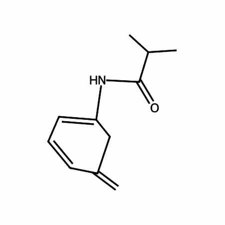 C=C1C=CC=C(NC(=O)C(C)C)C1